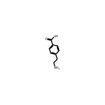 CCCC(=O)c1ccc(CCN)cc1